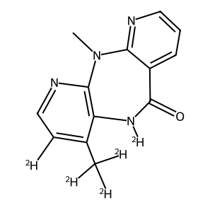 [2H]c1cnc2c(c1C([2H])([2H])[2H])N([2H])C(=O)c1cccnc1N2C